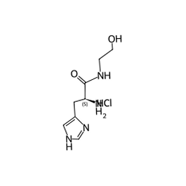 Cl.N[C@@H](Cc1c[nH]cn1)C(=O)NCCO